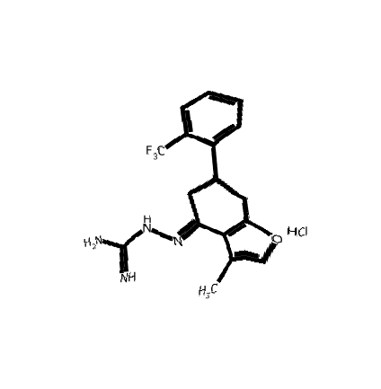 Cc1coc2c1/C(=N/NC(=N)N)CC(c1ccccc1C(F)(F)F)C2.Cl